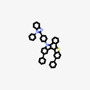 c1ccc(-c2ccc3sc4c5ccccc5c5c(c6cc(-c7ccccc7)ccc6n5-c5ccc(-c6nc7ccccc7n6-c6ccccc6)cc5)c4c3c2)cc1